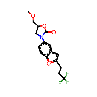 COC[C@@H]1CN(c2ccc3oc(CCC(F)(F)F)cc3c2)C(=O)O1